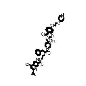 CN1CCC(OCCOc2ccc3c(=O)n(CC4(O)CCN(C(=O)[C@H](CCCNC(=O)c5ccc6c(Cl)cc(C7CC7)nc6c5)Cc5ccccc5)CC4)cnc3c2)CC1